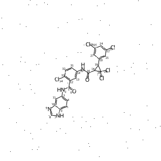 O=C(Nc1ccc2[nH]cnc2c1)c1cc(NC(=O)C2C(c3cc(Cl)cc(Cl)c3)C2(Cl)Cl)ccc1Cl